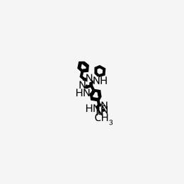 CN1N=NC(c2ccc3c(c2)[nH]c2nc(Cc4ccccc4)nc(NC4CCCCC4)c23)N1